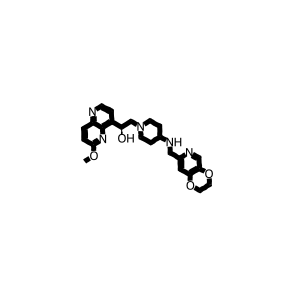 COc1ccc2nccc([C@@H](O)CN3CCC(NCc4cc5c(cn4)OCCO5)CC3)c2n1